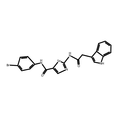 O=C(Cc1c[nH]c2ccccc12)Nc1ncc(C(=O)Nc2ccc(Br)cc2)[se]1